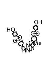 COC1(Oc2ccc(S(=O)(=O)c3ccc(O)cc3)cc2)N=CNC(Oc2ccc(S(=O)(=O)c3ccc(O)cc3)cc2)=N1